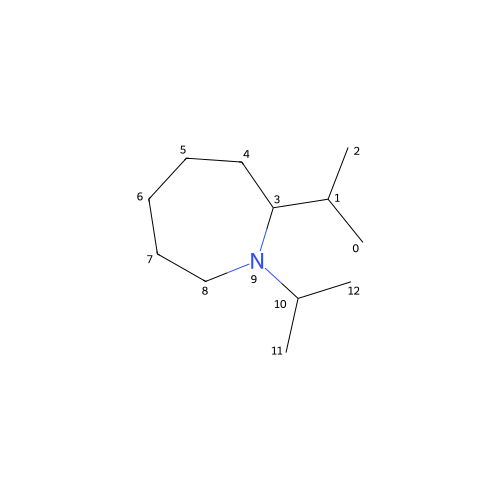 CC(C)C1CCCCCN1C(C)C